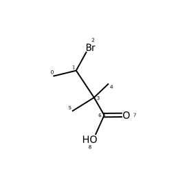 CC(Br)C(C)(C)C(=O)O